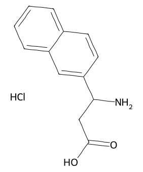 Cl.NC(CC(=O)O)c1ccc2ccccc2c1